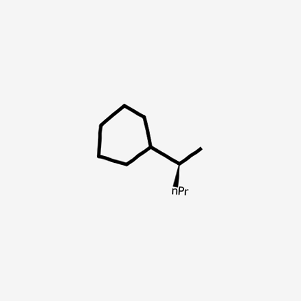 [CH2]CC[C@H](C)C1CCCCC1